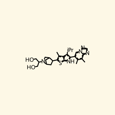 Cc1c(-c2[nH]c3sc(C4CC5CC4CN5C(CO)CO)c(C)c3c2C(C)C)cn2ncnc2c1C